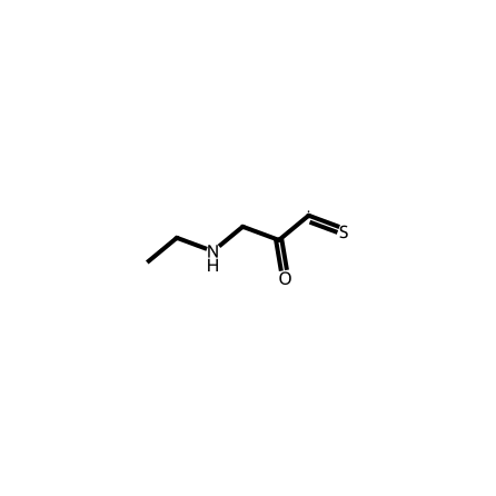 CCNCC(=O)[C]=S